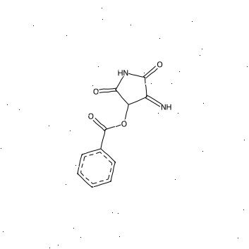 N=C1C(=O)NC(=O)C1OC(=O)c1ccccc1